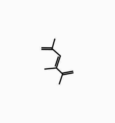 C=C(C)/C=C(\C)C(=C)C